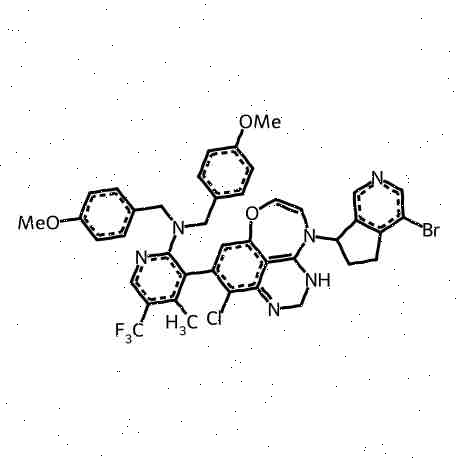 COc1ccc(CN(Cc2ccc(OC)cc2)c2ncc(C(F)(F)F)c(C)c2-c2cc3c4c(c2Cl)=NCNC=4N(C2CCc4c(Br)cncc42)C=CO3)cc1